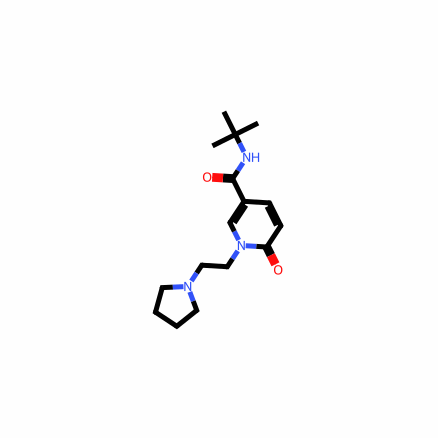 CC(C)(C)NC(=O)c1ccc(=O)n(CCN2CCCC2)c1